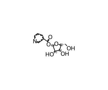 O=C(O[C@@H]1O[C@H](CO)[C@@H](O)[C@H]1O)c1cccnc1